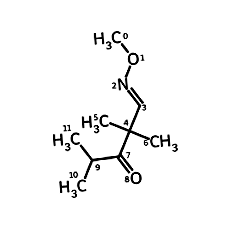 CON=CC(C)(C)C(=O)C(C)C